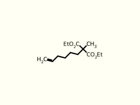 C=CCCCCC(C)(C(=O)OCC)C(=O)OCC